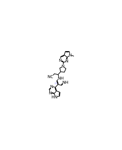 Cn1ccc2cnc(N3CCC(C(CC#N)N/C=C(\C=N)c4ncnc5[nH]ccc45)C3)nc21